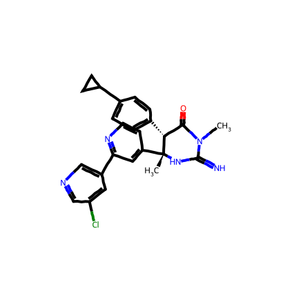 CN1C(=N)N[C@](C)(c2ccnc(-c3cncc(Cl)c3)c2)[C@H](c2ccc(C3CC3)cc2)C1=O